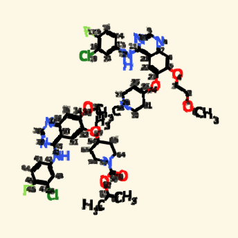 COCCOc1cc2ncnc(Nc3ccc(F)c(Cl)c3)c2cc1OC1CCN(C)CC1.COc1cc2ncnc(Nc3ccc(F)c(Cl)c3)c2cc1OC1CCN(C(=O)OC(C)C)CC1